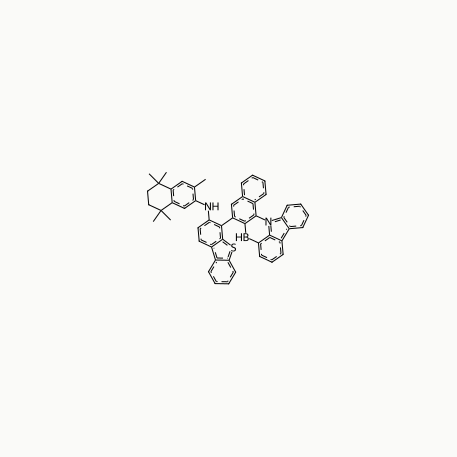 Cc1cc2c(cc1Nc1ccc3c(sc4ccccc43)c1-c1cc3ccccc3c3c1Bc1cccc4c5ccccc5n-3c14)C(C)(C)CCC2(C)C